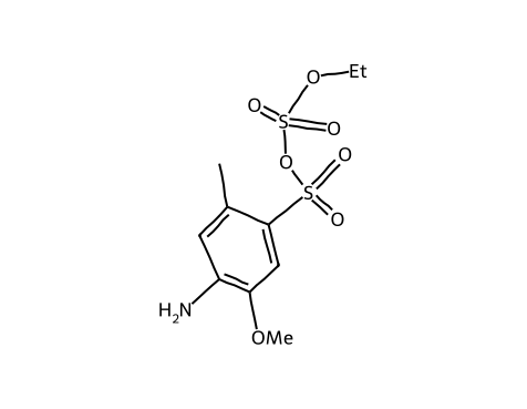 CCOS(=O)(=O)OS(=O)(=O)c1cc(OC)c(N)cc1C